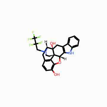 Oc1ccc2c3c1O[C@H]1c4[nH]c5ccccc5c4C[C@@]4(O)[C@@H](C2)N(CC(F)(F)C(F)(F)F)CC[C@]314